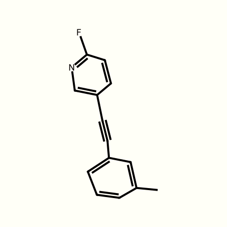 Cc1cccc(C#Cc2ccc(F)nc2)c1